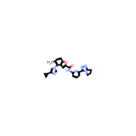 Cc1ccc2oc(C(=O)Nc3cccc(-c4nnc5n4CCC5)n3)cc2c1-n1cnc(C2CC2)c1